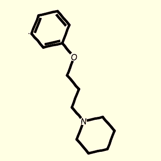 [c]1cccc(OCCCN2CCCCC2)c1